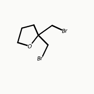 BrCC1(CBr)CCCO1